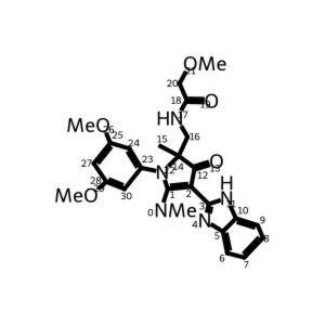 CNC1=C(c2nc3ccccc3[nH]2)C(=O)C(C)(CNC(=O)COC)N1c1cc(OC)cc(OC)c1